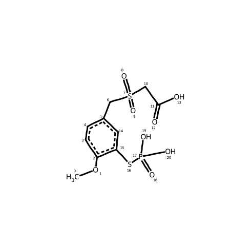 COc1ccc(CS(=O)(=O)CC(=O)O)cc1SP(=O)(O)O